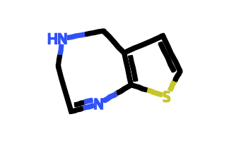 C1=Nc2sccc2CNC1